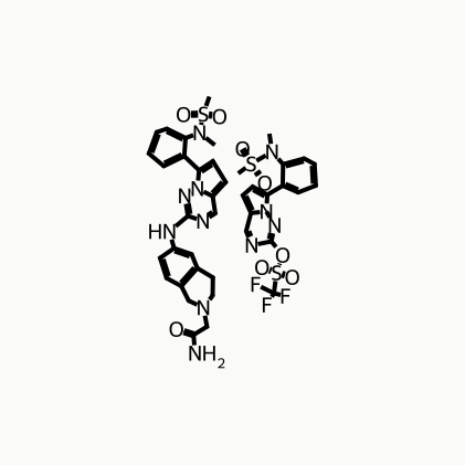 CN(c1ccccc1-c1ccc2cnc(Nc3ccc4c(c3)CCN(CC(N)=O)C4)nn12)S(C)(=O)=O.CN(c1ccccc1-c1ccc2cnc(OS(=O)(=O)C(F)(F)F)nn12)S(C)(=O)=O